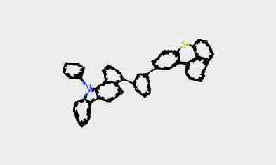 c1ccc(-n2c3ccccc3c3ccc4c(-c5cccc(-c6ccc7c(c6)-c6cccc8cccc(c68)S7)c5)cccc4c32)cc1